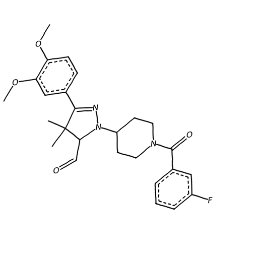 COc1ccc(C2=NN(C3CCN(C(=O)c4cccc(F)c4)CC3)C(C=O)C2(C)C)cc1OC